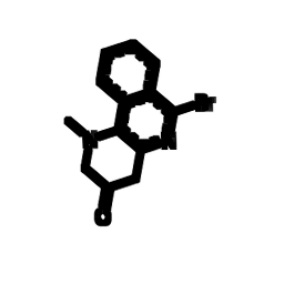 CN1CC(=O)Cc2nc(Br)c3ccccc3c21